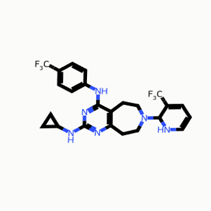 FC(F)(F)C1=CC=CNC1N1CCc2nc(NC3CC3)nc(Nc3ccc(C(F)(F)F)cc3)c2CC1